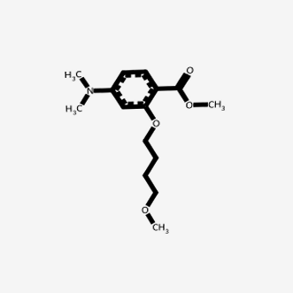 COCCCCOc1cc(N(C)C)ccc1C(=O)OC